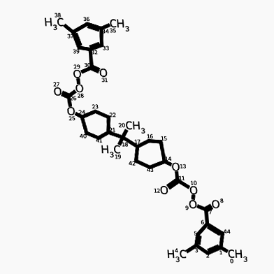 Cc1cc(C)cc(C(=O)OOC(=O)OC2CCC(C(C)(C)C3CCC(OC(=O)OOC(=O)c4cc(C)cc(C)c4)CC3)CC2)c1